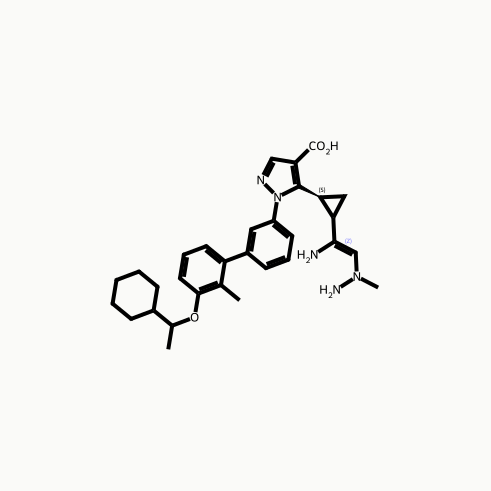 Cc1c(OC(C)C2CCCCC2)cccc1-c1cccc(-n2ncc(C(=O)O)c2[C@H]2CC2/C(N)=C/N(C)N)c1